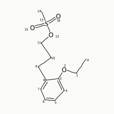 CCOc1ccccc1CCCOS(C)(=O)=O